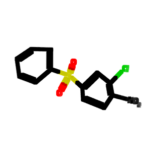 O=[N+]([O-])c1ccc(S(=O)(=O)c2ccccc2)cc1Cl